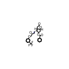 O=C(/C=C/[C@@H]1[C@H]2CC(=O)O[C@H]2C[C@H]1OC(=O)c1ccccc1)COc1cccc(C(F)(F)F)c1